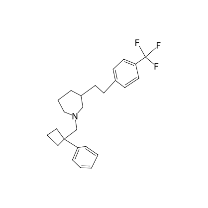 FC(F)(F)c1ccc(CCC2CCCN(CC3(c4ccccc4)CCC3)C2)cc1